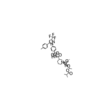 Cc1ccc(-c2cc(C(F)(F)F)nn2-c2ccc(S(=O)(=O)NC(=O)C3CCCN(/[N+]([O-])=N/OC(C)OC(=O)C(C)C)C3)cc2)cc1